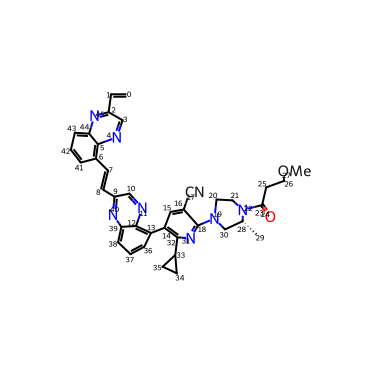 C=Cc1cnc2c(/C=C/c3cnc4c(-c5cc(C#N)c(N6CCN(C(=O)CCOC)[C@H](C)C6)nc5C5CC5)cccc4n3)cccc2n1